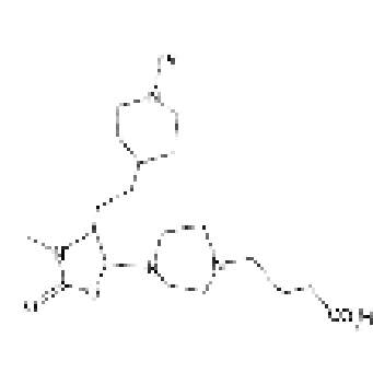 CC(C)N1CCC(CCC2C(N3CCN(CCCC(=O)O)CC3)OC(=O)N2C)CC1